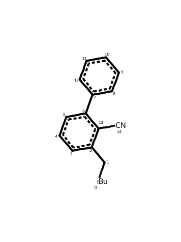 CCC(C)Cc1cccc(-c2ccccc2)c1C#N